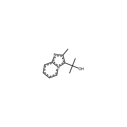 Cc1nc2ccccn2c1C(C)(C)O